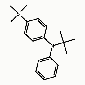 CC(C)(C)N(c1ccccc1)c1ccc([Si](C)(C)C)cc1